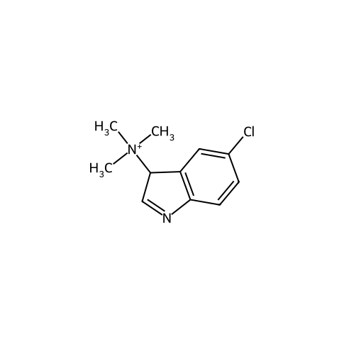 C[N+](C)(C)C1C=Nc2ccc(Cl)cc21